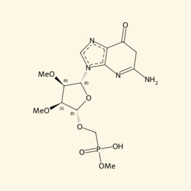 CO[C@@H]1[C@@H](OCP(=O)(O)OC)O[C@@H](n2cnc3c2N=C(N)CC3=O)[C@@H]1OC